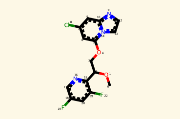 COC(COc1cc(Cl)cc2nccn12)c1ncc(F)cc1F